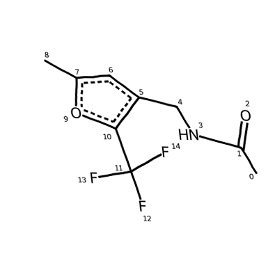 CC(=O)NCc1cc(C)oc1C(F)(F)F